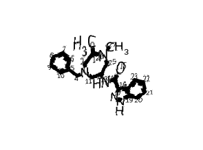 CC1CN(Cc2ccccc2)CC(NC(=O)c2n[nH]c3ccccc23)CN1C